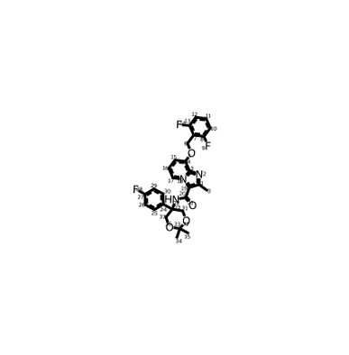 Cc1nc2c(OCc3c(F)cccc3F)cccn2c1C(=O)NC1(c2ccc(F)cc2)COC(C)(C)OC1